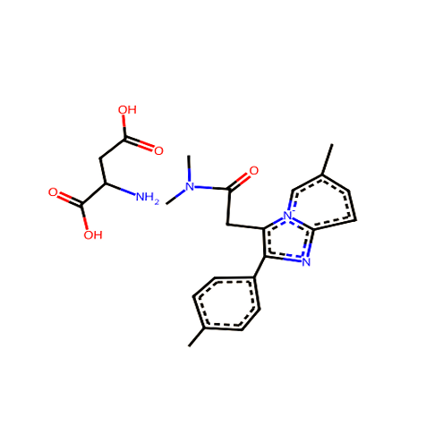 Cc1ccc(-c2nc3ccc(C)cn3c2CC(=O)N(C)C)cc1.NC(CC(=O)O)C(=O)O